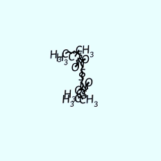 CCCCC(C)(CC)SC1CC(=O)N(CCSSCCN2C(=O)CC(SC(C)(C)C)C2=O)C1=O